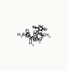 COC1C(Sc2cc(Br)cnc2C#N)OC(C)COC[C@H]1N(N)/C=C(\N)c1nc(C)c(Cl)s1